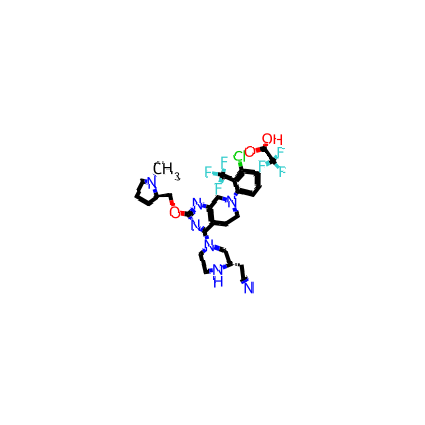 CN1CCC[C@@H]1COc1nc2c(c(N3CCN[C@@H](CC#N)C3)n1)CCN(c1cccc(Cl)c1C(F)(F)F)C2.O=C(O)C(F)(F)F